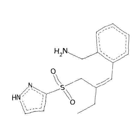 CCC(=Cc1ccccc1CN)CS(=O)(=O)c1cc[nH]n1